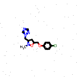 CN1OC(COc2ccc(Cl)cc2)CC1Cn1cncn1